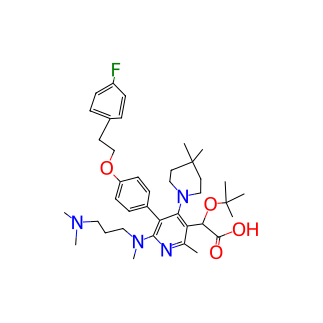 Cc1nc(N(C)CCCN(C)C)c(-c2ccc(OCCc3ccc(F)cc3)cc2)c(N2CCC(C)(C)CC2)c1C(OC(C)(C)C)C(=O)O